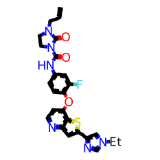 C=CCN1CCN(C(=O)Nc2ccc(Oc3ccnc4cc(-c5cn(CC)cn5)sc34)c(F)c2)C1=O